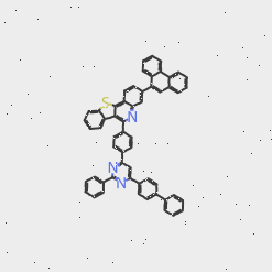 c1ccc(-c2ccc(-c3cc(-c4ccc(-c5nc6cc(-c7cc8ccccc8c8ccccc78)ccc6c6sc7ccccc7c56)cc4)nc(-c4ccccc4)n3)cc2)cc1